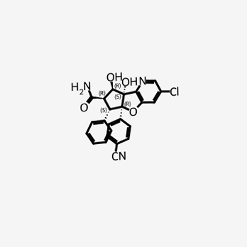 N#Cc1ccc([C@@]23Oc4cc(Cl)cnc4[C@]2(O)[C@H](O)[C@H](C(N)=O)[C@H]3c2ccccc2)cc1